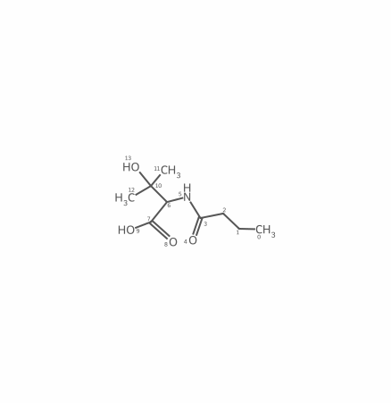 CCCC(=O)NC(C(=O)O)C(C)(C)O